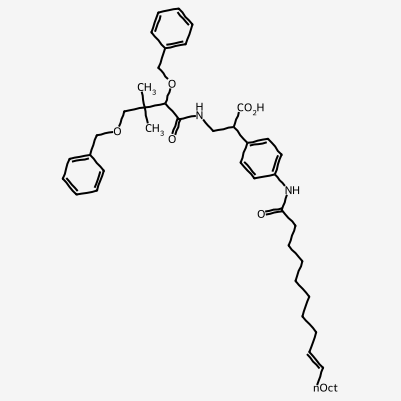 CCCCCCCCC=CCCCCCCCC(=O)Nc1ccc(C(CNC(=O)C(OCc2ccccc2)C(C)(C)COCc2ccccc2)C(=O)O)cc1